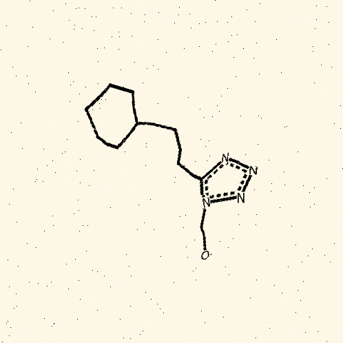 [O]Cn1nnnc1CCC1CCCCC1